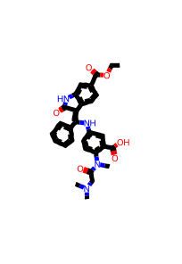 CCOC(=O)c1ccc2c(c1)NC(=O)C2=C(Nc1ccc(N(C)C(=O)CN(C)C)c(C(=O)O)c1)c1ccccc1